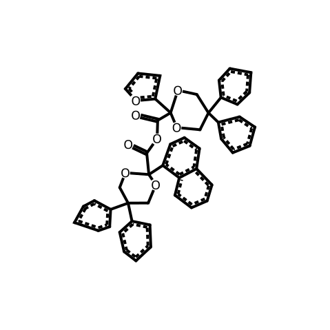 O=C(OC(=O)C1(c2cccc3ccccc23)OCC(c2ccccc2)(c2ccccc2)CO1)C1(c2ccco2)OCC(c2ccccc2)(c2ccccc2)CO1